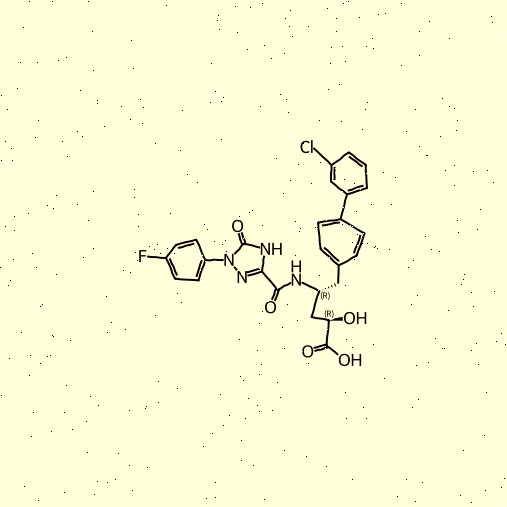 O=C(N[C@H](Cc1ccc(-c2cccc(Cl)c2)cc1)C[C@@H](O)C(=O)O)c1nn(-c2ccc(F)cc2)c(=O)[nH]1